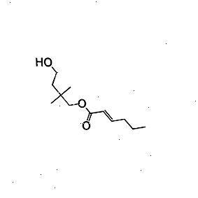 CCC/C=C/C(=O)OCC(C)(C)CCO